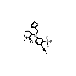 CCC(C(=O)N(C)C)N(Cc1cccs1)c1ccc(C#N)c(C(F)(F)F)c1